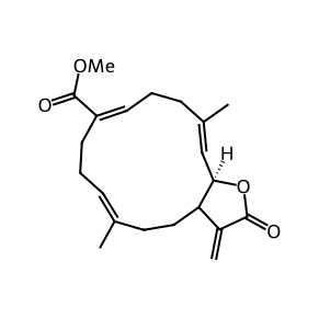 C=C1C(=O)O[C@@H]2/C=C(\C)CC/C=C(\C(=O)OC)CC/C=C(\C)CCC12